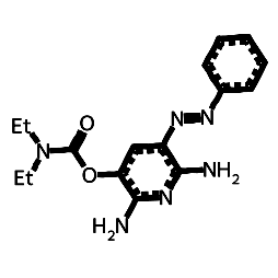 CCN(CC)C(=O)Oc1cc(N=Nc2ccccc2)c(N)nc1N